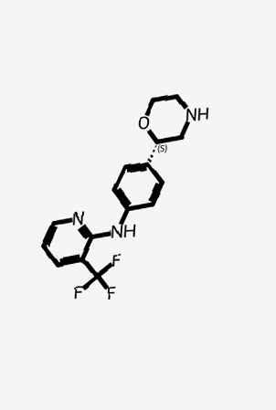 FC(F)(F)c1cccnc1Nc1ccc([C@H]2CNCCO2)cc1